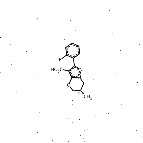 C[C@H]1COc2c(C(=O)O)c(-c3ccccc3F)nn2C1